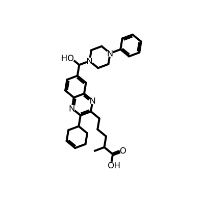 CC(CCCc1nc2cc(C(O)N3CCN(c4ccccc4)CC3)ccc2nc1C1CC=CCC1)C(=O)O